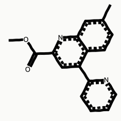 COC(=O)c1cc(-c2ccccn2)c2ccc(C)cc2n1